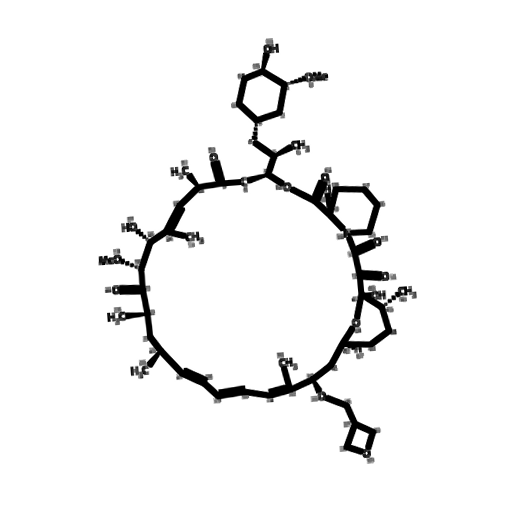 CO[C@@H]1C[C@H](C[C@@H](C)[C@@H]2CC(=O)[C@H](C)/C=C(\C)[C@@H](O)[C@@H](OC)C(=O)[C@H](C)C[C@H](C)/C=C/C=C/C=C(\C)[C@H](OCC3COC3)C[C@@H]3CC[C@@H](C)[C@@](O)(O3)C(=O)C(=O)N3CCCC[C@H]3C(=O)O2)CC[C@H]1O